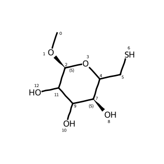 CO[C@H]1OC(CS)[C@@H](O)C(O)C1O